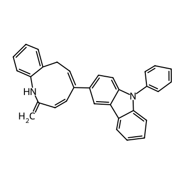 C=C1/C=C\C(c2ccc3c(c2)c2ccccc2n3-c2ccccc2)=C/Cc2ccccc2N1